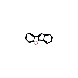 C1=C2c3ccccc3OC2c2ccccc21